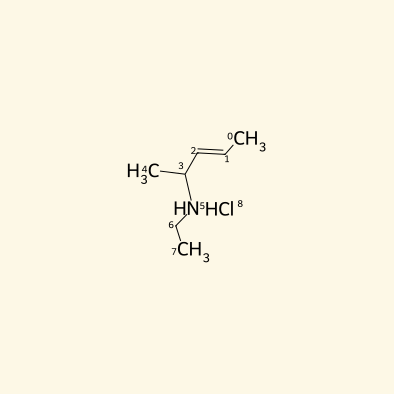 CC=CC(C)NCC.Cl